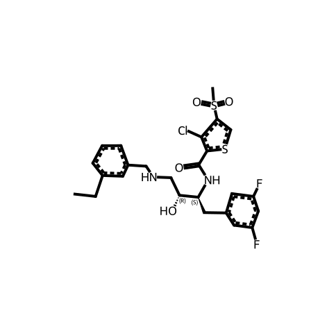 CCc1cccc(CNC[C@@H](O)[C@H](Cc2cc(F)cc(F)c2)NC(=O)c2scc(S(C)(=O)=O)c2Cl)c1